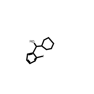 OC(c1ccccc1I)C1CCCCC1